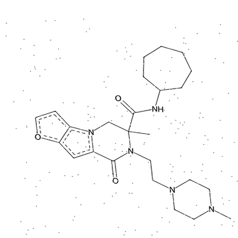 CN1CCN(CCN2C(=O)c3cc4occc4n3CC2(C)C(=O)NC2CCCCCC2)CC1